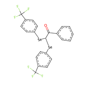 O=C(c1ccccc1)C([Se]c1ccc(C(F)(F)F)cc1)[Se]c1ccc(C(F)(F)F)cc1